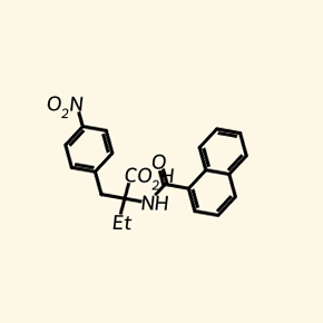 CCC(Cc1ccc([N+](=O)[O-])cc1)(NC(=O)c1cccc2ccccc12)C(=O)O